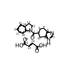 O=C(C1CCc2nc[nH]c2C1)N1CCc2ccccc21.O=C(O)C=CC(=O)O